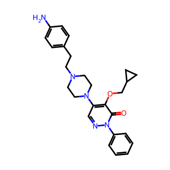 Nc1ccc(CCN2CCN(c3cnn(-c4ccccc4)c(=O)c3OCC3CC3)CC2)cc1